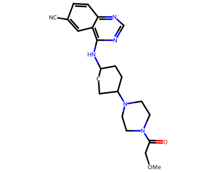 COCC(=O)N1CCN(C2CCC(Nc3ncnc4ccc(C#N)cc34)CC2)CC1